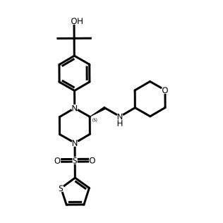 CC(C)(O)c1ccc(N2CCN(S(=O)(=O)c3cccs3)C[C@@H]2CNC2CCOCC2)cc1